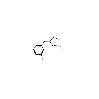 CCN1CC[C@H](Cc2cccc(F)c2)C1